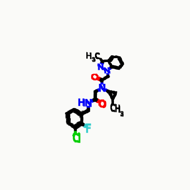 Cc1nn(CC(=O)N(CC(=O)NCc2cccc(Cl)c2F)C2CC2C)c2ccccc12